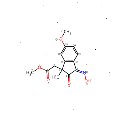 COC(=O)CC1(C)C(=O)C(=NO)c2ccc(OC)cc21